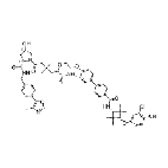 Cc1ncoc1-c1ccc(CNC(=O)[C@@H]2C[C@@H](O)CN2C(=O)CC(C)(C)CC(OCCOc2ccc(-c3ccc(C(=O)N[C@H]4C(C)(C)[C@H](Oc5ccc(C#N)c(Cl)c5)C4(C)C)cc3)cc2)C(N)=O)cc1